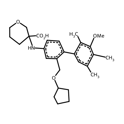 COc1c(C)c(C)cc(-c2ccc(NC3(C(=O)O)CCCOC3)cc2COC2CCCC2)c1C